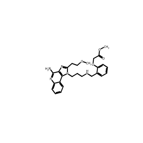 COCCc1nc2c(N)nc3ccccc3c2n1CCCNCc1ccccc1OCC(=O)OC